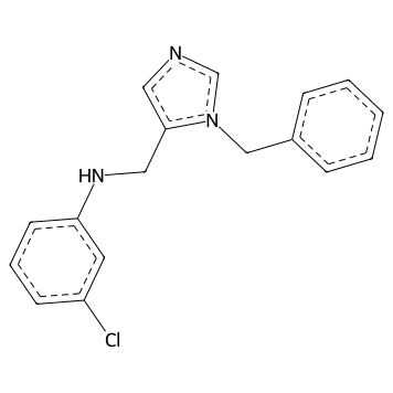 Clc1cccc(NCc2cncn2Cc2ccccc2)c1